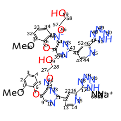 COc1ccccc1Oc1cnc(-c2ccnc(-c3nnn[nH]3)c2)nc1[N-]OCCO.COc1ccccc1Oc1cnc(-c2ccnc(-c3nnn[nH]3)c2)nc1[N-]OCCO.[Na+].[Na+]